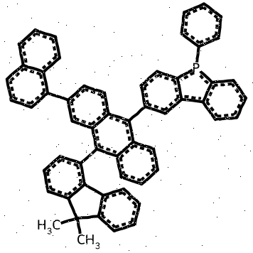 CC1(C)c2ccccc2-c2c(-c3c4ccccc4c(-c4ccc5c(c4)c4ccccc4p5-c4ccccc4)c4ccc(-c5cccc6ccccc56)cc34)cccc21